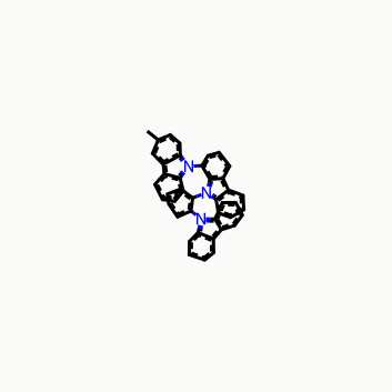 Cc1ccc2c(c1)c1ccccc1n2-c1cccc2c3ccccc3n(-c3ccccc3-n3c4ccccc4c4ccccc43)c12